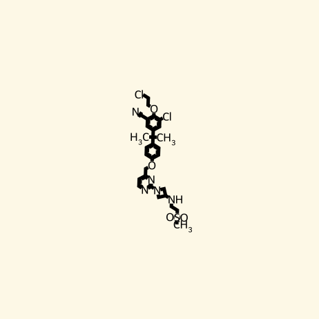 CC(C)(c1ccc(OCc2ccnc(N3CC(NCCS(C)(=O)=O)C3)n2)cc1)c1cc(Cl)c(OCCCl)c(C#N)c1